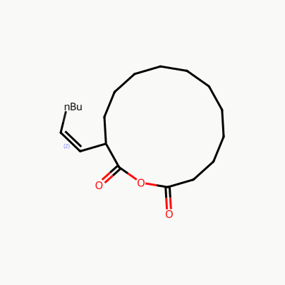 CCCC/C=C\C1CCCCCCCCCCC(=O)OC1=O